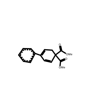 COC(=O)C1(C(=O)OC)C=CC(c2ccccc2)=CC1